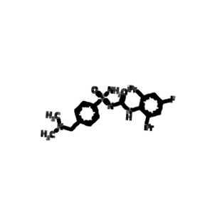 CC(C)c1cc(F)cc(C(C)C)c1NC(=O)N=S(N)(=O)c1ccc(CN(C)C)cc1